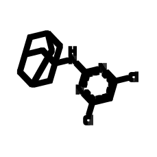 Clc1cc(Cl)nc(NC23CC4CC(CC(C4)C2)C3)n1